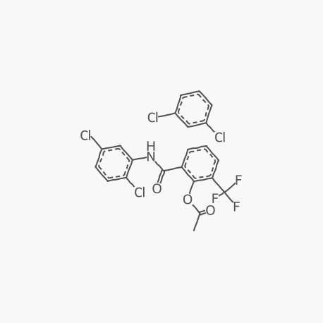 CC(=O)Oc1c(C(=O)Nc2cc(Cl)ccc2Cl)cccc1C(F)(F)F.Clc1cccc(Cl)c1